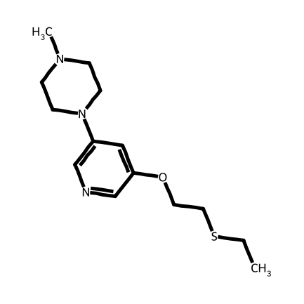 CCSCCOc1cncc(N2CCN(C)CC2)c1